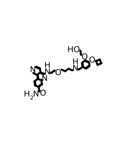 NC(=O)c1ccc2c(c1)nc(NCCOCCCCNCc1ccc(OC3CCC3)c(OCCO)c1)c1ccncc12